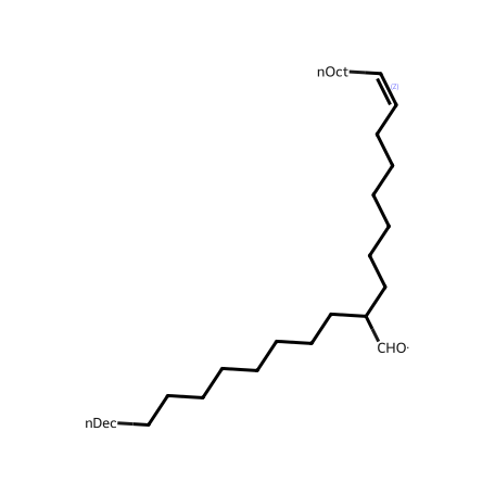 CCCCCCCC/C=C\CCCCCCC([C]=O)CCCCCCCCCCCCCCCCCC